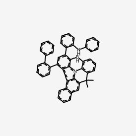 CC1(C)c2cccc3c2-n2c4c(c(-c5ccccc5Nc5ccccc5)cc(-c5ccccc5-c5ccccc5)c4c4c5ccccc5cc1c42)B3